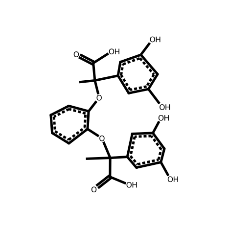 CC(Oc1ccccc1OC(C)(C(=O)O)c1cc(O)cc(O)c1)(C(=O)O)c1cc(O)cc(O)c1